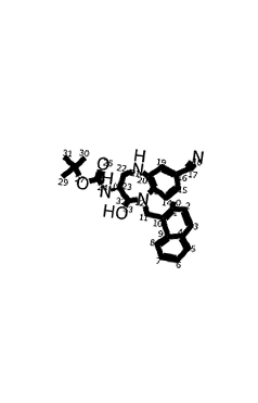 Cc1ccc2ccccc2c1CN1c2ccc(C#N)cc2NC[C@H](NC(=O)OC(C)(C)C)C1O